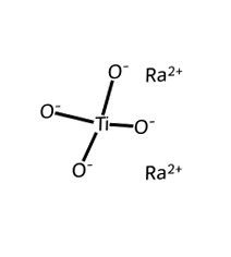 [O-][Ti]([O-])([O-])[O-].[Ra+2].[Ra+2]